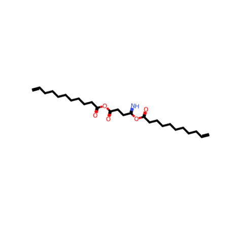 C=CCCCCCCCCC(=O)OC(=N)CCC(=O)OC(=O)CCCCCCCCC=C